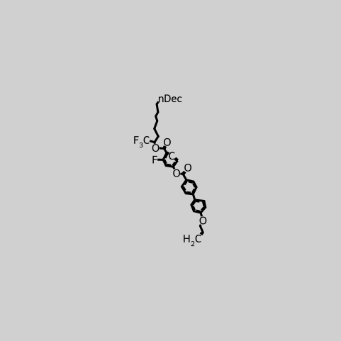 C=CCOc1ccc(-c2ccc(C(=O)Oc3ccc(C(=O)OC(CCCCCCCCCCCCCCCC)C(F)(F)F)c(F)c3)cc2)cc1